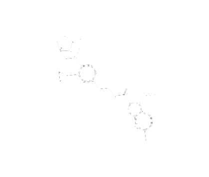 CNc1c(C(=O)NCCc2ccc(N3C[C@H]4CC[C@@H](C3)N4)c(C3CC3)c2)sc2nc(C)ccc12